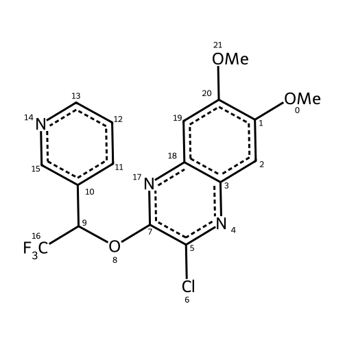 COc1cc2nc(Cl)c(OC(c3cccnc3)C(F)(F)F)nc2cc1OC